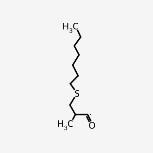 CCCCCCCSCC(C)[C]=O